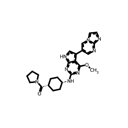 COc1nc(N[C@H]2CC[C@@H](C(=O)N3CCCC3)CC2)nc2[nH]cc(-c3cnc4nccn4c3)c12